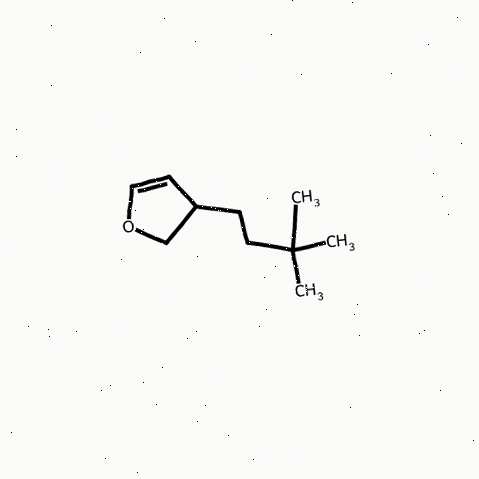 CC(C)(C)CCC1C=COC1